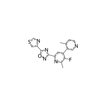 Cc1ccncc1-c1cc(-c2noc(-c3cscn3)n2)nc(C)c1F